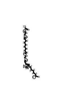 CC(=O)CCCCCn1cc(COCCOCCCCCCCCOCCOC(C)C)nn1